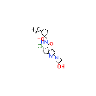 C[C@H]1CCC[C@](O)(CNC(=O)c2c(Cl)ccc3nc(N4CC[C@@H](O)C4)ccc23)C1